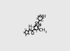 Cc1cc(C(=O)NC2CCCC2)cc2sc(C3CCNCC3)nc12